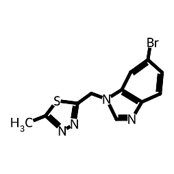 Cc1nnc(Cn2cnc3ccc(Br)cc32)s1